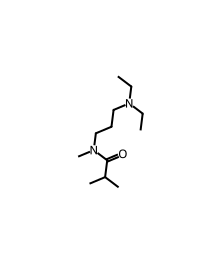 CCN(CC)CCCN(C)C(=O)C(C)C